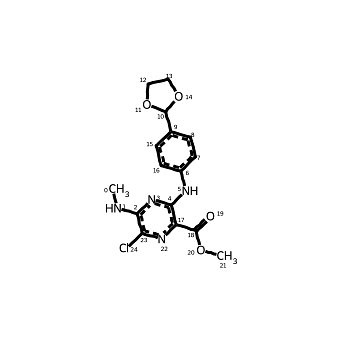 CNc1nc(Nc2ccc(C3OCCO3)cc2)c(C(=O)OC)nc1Cl